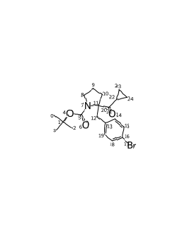 CC(C)(C)OC(=O)N1CCCC1(Cc1ccc(Br)cc1)C(=O)C1CC1